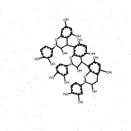 Oc1cc(O)c2c(c1)O[C@H](c1ccc(O)c(O)c1)C(O)C2c1c(O)cc(O)c2c1O[C@H](c1ccc(O)c(O)c1)C(O)C2c1c(O)cc(O)c2c1O[C@H](c1ccc(O)c(O)c1)C(O)C2